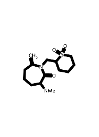 C=C1CCCC(NC)C(=O)N1CC1CCCCS1(=O)=O